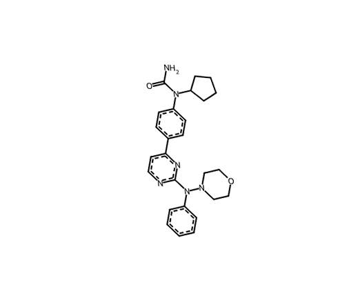 NC(=O)N(c1ccc(-c2ccnc(N(c3ccccc3)N3CCOCC3)n2)cc1)C1CCCC1